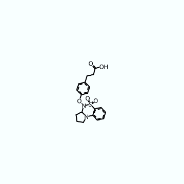 O=C(O)CCc1ccc(ON2C3CCCN3c3ccccc3S2(=O)=O)cc1